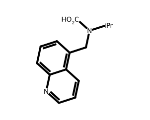 CC(C)N(Cc1cccc2ncccc12)C(=O)O